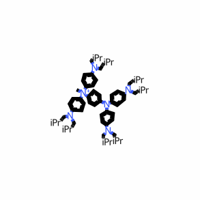 CC(C)CN(CC(C)C)c1ccc(N(c2ccc(N(CC(C)C)CC(C)C)cc2)c2ccc([N+](C)(c3ccc(N(CC(C)C)CC(C)C)cc3)c3ccc(N(CC(C)C)CC(C)C)cc3)cc2)cc1